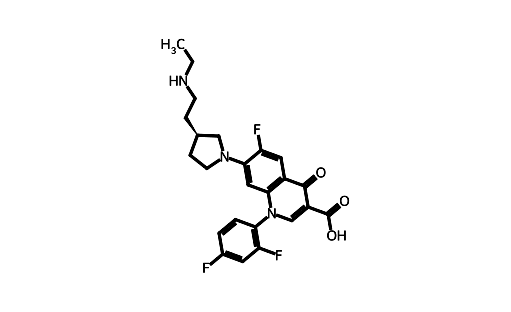 CCNCC[C@@H]1CCN(c2cc3c(cc2F)c(=O)c(C(=O)O)cn3-c2ccc(F)cc2F)C1